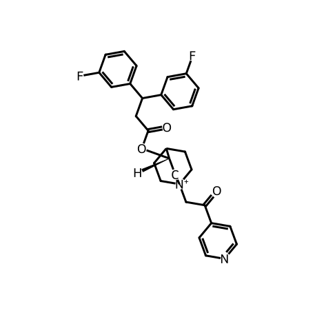 O=C(CC(c1cccc(F)c1)c1cccc(F)c1)O[C@H]1C[N+]2(CC(=O)c3ccncc3)CCC1CC2